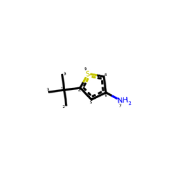 CC(C)(C)c1cc(N)cs1